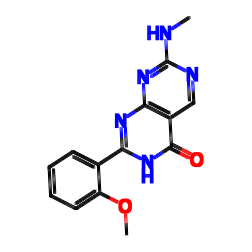 CNc1ncc2c(=O)[nH]c(-c3ccccc3OC)nc2n1